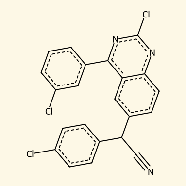 N#CC(c1ccc(Cl)cc1)c1ccc2nc(Cl)nc(-c3cccc(Cl)c3)c2c1